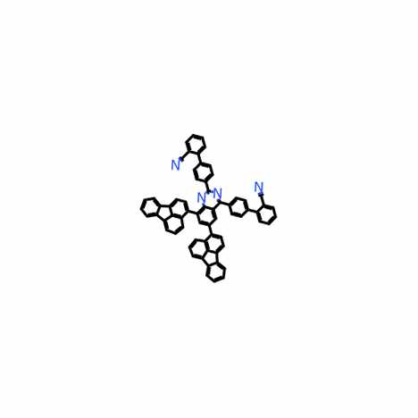 N#Cc1ccccc1-c1ccc(-c2nc(-c3ccc(-c4ccccc4C#N)cc3)c3cc(-c4ccc5c6c(cccc46)-c4ccccc4-5)cc(-c4ccc5c6c(cccc46)-c4ccccc4-5)c3n2)cc1